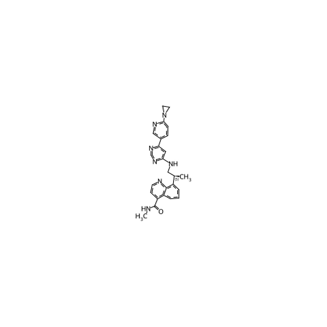 CNC(=O)c1ccnc2c([C@H](C)CNc3cc(-c4ccc(N5CC5)nc4)ncn3)cccc12